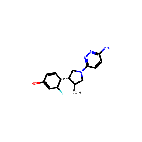 Nc1ccc(N2C[C@@H](C(=O)O)[C@H](C3C=CC(O)=CC3F)C2)nn1